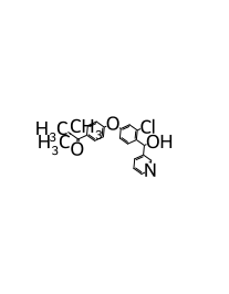 CC(C)(C)C(=O)c1ccc(Oc2ccc(C(O)c3cccnc3)c(Cl)c2)cc1